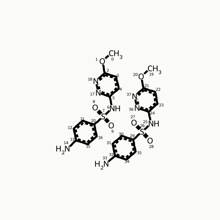 COc1ccc(NS(=O)(=O)c2ccc(N)cc2)nn1.COc1ccc(NS(=O)(=O)c2ccc(N)cc2)nn1